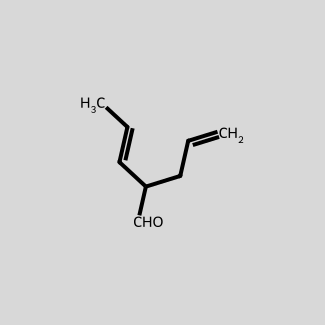 C=CCC(C=O)C=CC